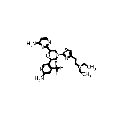 CCN(CC)CCc1csc(N2CC(c3nccc(N)n3)OC(c3cnc(N)cc3C(F)(F)F)C2)n1